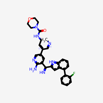 C/N=C\C(=C/CNC(=O)N1CCOCC1)c1cnc(N)c(C(=N)c2cc3c(-c4ccccc4F)cccc3[nH]2)c1